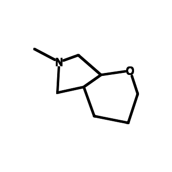 CN1CC2CCCOC2C1